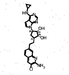 Nc1nc2cc(CC[C@H]3C[C@@H](n4ccc5c(NC6CC6)ncnc54)[C@H](O)[C@@H]3O)ccc2cc1Cl